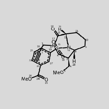 C#CCN1C[C@H](COC)[C@H]2CCC[C@@H](C1=O)N2S(=O)(=O)c1cccc(C(=O)OC)c1